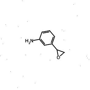 Nc1cccc(C2CO2)c1